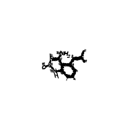 CC(C)=Cc1cccc2c1C(N)=N[S+]([O-])N2